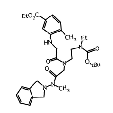 CCOC(=O)c1ccc(C)c(NCC(=O)N(CCN(CC)C(=O)OC(C)(C)C)CC(=O)N(C)N2Cc3ccccc3C2)c1